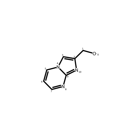 [O]Cc1cn2cccnc2n1